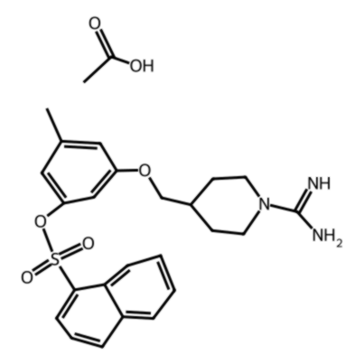 CC(=O)O.Cc1cc(OCC2CCN(C(=N)N)CC2)cc(OS(=O)(=O)c2cccc3ccccc23)c1